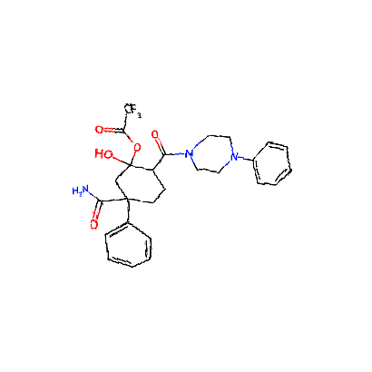 NC(=O)C1(c2ccccc2)CCC(C(=O)N2CCN(c3ccccc3)CC2)C(O)(OC(=O)C(F)(F)F)C1